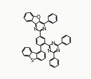 c1ccc(-c2nc(-c3ccccc3)nc(-c3cc(-c4nc(-c5ccccc5)c5oc6ccccc6c5n4)ccc3-c3cccc4sc5ccccc5c34)n2)cc1